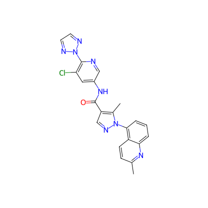 Cc1ccc2c(-n3ncc(C(=O)Nc4cnc(-n5nccn5)c(Cl)c4)c3C)cccc2n1